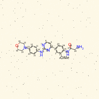 COc1cc(-c2ccnc(Nc3ccc(N4CCOCC4)cc3)n2)ccc1NC(=O)CN